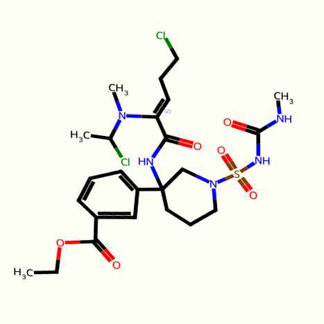 CCOC(=O)c1cccc(C2(NC(=O)/C(=C/CCCl)N(C)C(C)Cl)CCCN(S(=O)(=O)NC(=O)NC)C2)c1